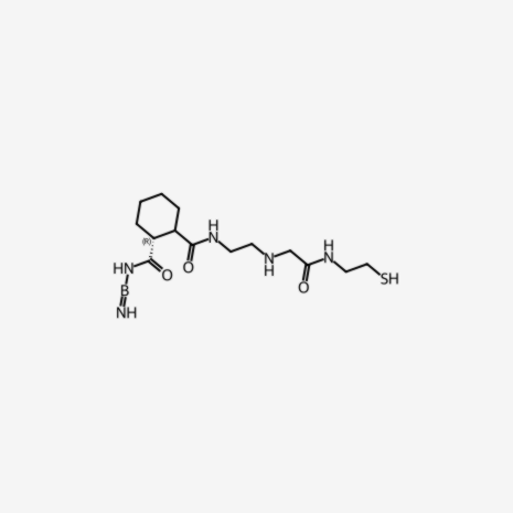 N=BNC(=O)[C@@H]1CCCCC1C(=O)NCCNCC(=O)NCCS